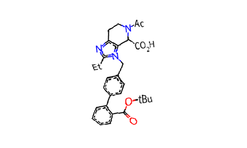 CCc1nc2c(n1Cc1ccc(-c3ccccc3C(=O)OC(C)(C)C)cc1)C(C(=O)O)N(C(C)=O)CC2